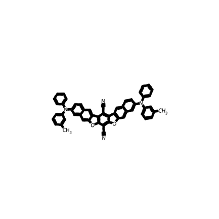 Cc1cccc(N(c2ccccc2)c2ccc3cc4c(cc3c2)oc2c(C#N)c3oc5cc6cc(N(c7ccccc7)c7cccc(C)c7)ccc6cc5c3c(C#N)c24)c1